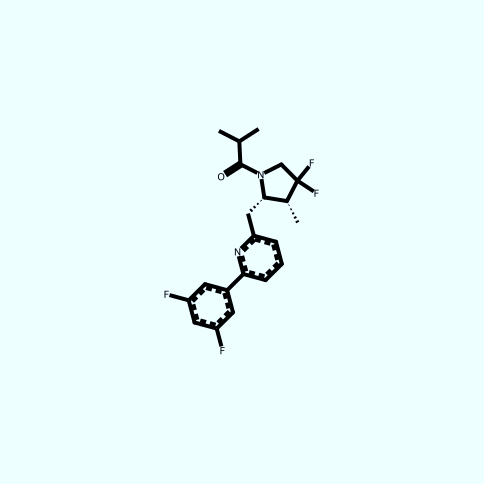 CC(C)C(=O)N1CC(F)(F)[C@H](C)[C@@H]1Cc1cccc(-c2cc(F)cc(F)c2)n1